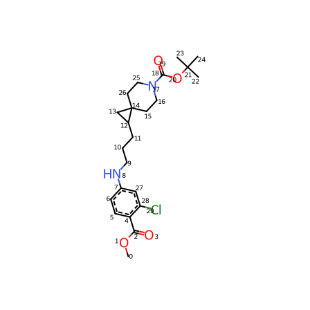 COC(=O)c1ccc(NCCCC2CC23CCN(C(=O)OC(C)(C)C)CC3)cc1Cl